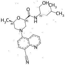 CC(C)C[C@@H](CO)NC(=O)[C@H]1CN(c2ccc(C#N)c3ncccc23)C[C@@H](C)O1